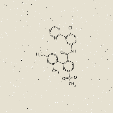 Cc1ccc(-c2cc(S(C)(=O)=O)ccc2C(=O)Nc2ccc(Cl)c(-c3ccccn3)c2)c(C)c1